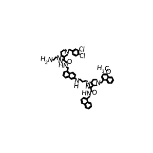 COc1ccc(CN2CCc3c(c(C(=O)NCc4cccc5ccccc45)nn3CCCNc3ccc4c(CNC(=O)c5nn(CCN)c6c5CN(Cc5ccc(Cl)c(Cl)c5)CC6)cccc4c3)C2)c2ccccc12